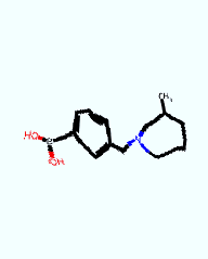 CC1CCCN(Cc2cccc(B(O)O)c2)C1